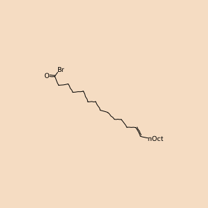 CCCCCCCCC=CCCCCCCCCCCCC(=O)Br